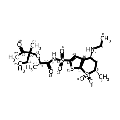 CCN[C@H]1C[C@H](C)S(=O)(=O)c2sc(S(=O)(=O)NC(=O)[C@H](C)OC(C)(CC)C(C)=O)cc21